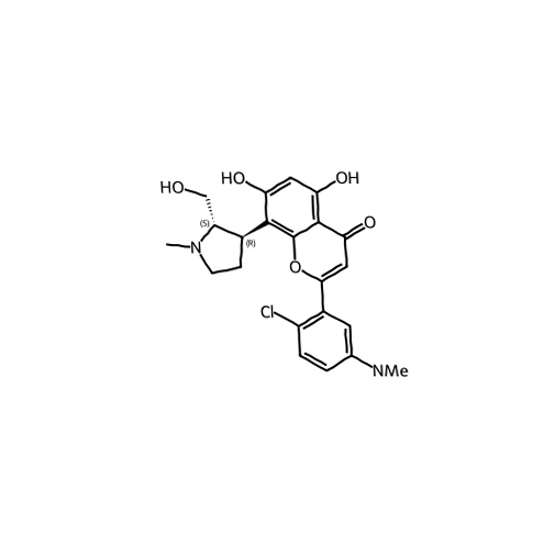 CNc1ccc(Cl)c(-c2cc(=O)c3c(O)cc(O)c([C@H]4CCN(C)[C@@H]4CO)c3o2)c1